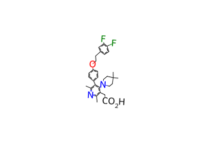 Cc1nc(C)c(-c2ccc(OCCc3ccc(F)c(F)c3)cc2)c(N2CCC(C)(C)CC2)c1CC(=O)O